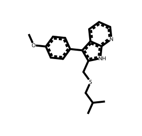 COc1ccc(-c2c(CSCC(C)C)[nH]c3ncccc23)cc1